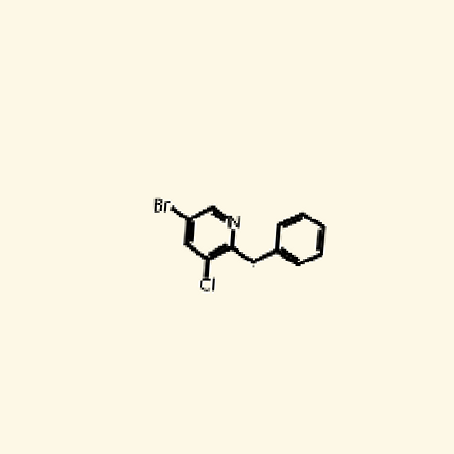 Clc1cc(Br)cnc1[CH]c1ccccc1